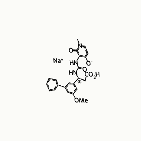 COc1cc(-c2ccccc2)cc([C@H](CC(=O)O)NC(=O)Nc2c([O-])ccn(C)c2=O)c1.[Na+]